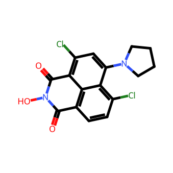 O=C1c2ccc(Cl)c3c(N4CCCC4)cc(Cl)c(c23)C(=O)N1O